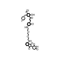 CCOc1cc(O)c(C(=O)/C=C/c2ccc(NCCOCCOCCNc3cccc4c3C(=O)C(C3CCC(=O)NC3=O)C4=O)cc2Cl)cc1CN1CCN(C)CC1